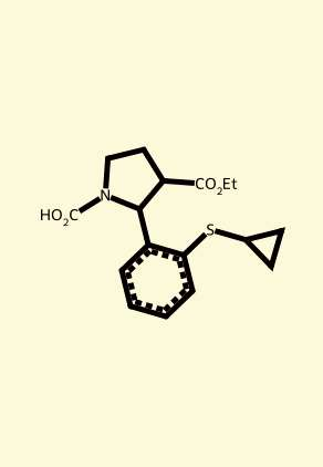 CCOC(=O)C1CCN(C(=O)O)C1c1ccccc1SC1CC1